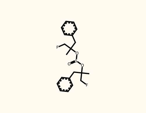 CC(CF)(Cc1ccccc1)OS(=O)OC(C)(CF)Cc1ccccc1